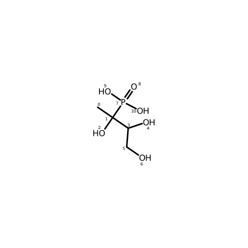 CC(O)(C(O)CO)P(=O)(O)O